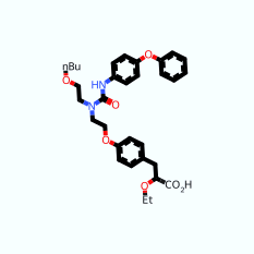 CCCCOCCN(CCOc1ccc(CC(OCC)C(=O)O)cc1)C(=O)Nc1ccc(Oc2ccccc2)cc1